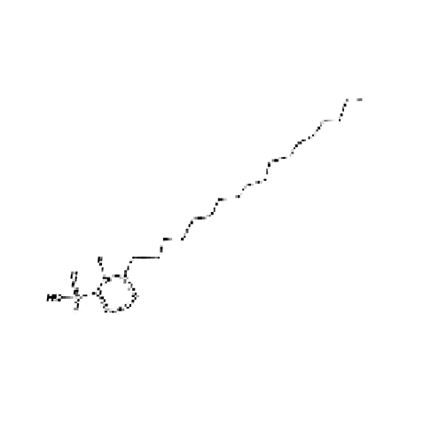 CCCCCCCCCCCCCCCCCCc1cccc(S(=O)(=O)O)c1F